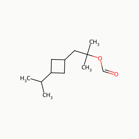 CC(C)C1CC(CC(C)(C)OC=O)C1